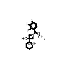 COC(c1ccc(F)c(F)c1F)N1CC(O)([C@@H]2CCCCN2)C1